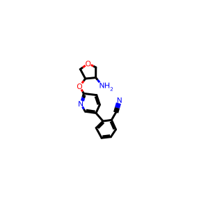 N#Cc1ccccc1-c1ccc(OC2COCC2N)nc1